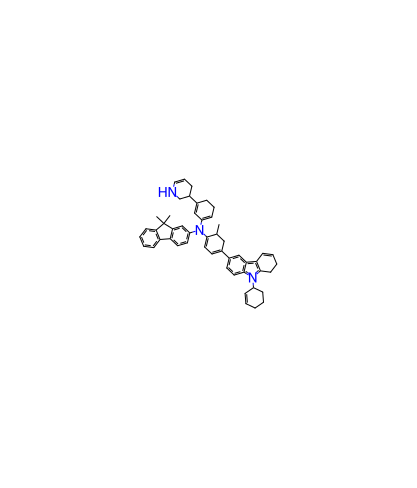 CC1CC(c2ccc3c(c2)c2c(n3C3C=CCCC3)CCC=C2)=CC=C1N(C1=CCCC(C2CC=CNC2)=C1)c1ccc2c(c1)C(C)(C)c1ccccc1-2